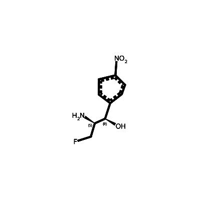 N[C@H](CF)[C@H](O)c1ccc([N+](=O)[O-])cc1